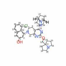 Oc1cc(N2CCc3c(nc(OCC45CCCN4CCC5)nc3[C@H]3C[C@H]4CC[C@@H](C3)N4)C2)c2c(Cl)cccc2c1